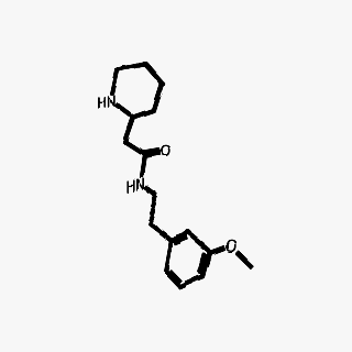 COc1cccc(CCNC(=O)CC2CCCCN2)c1